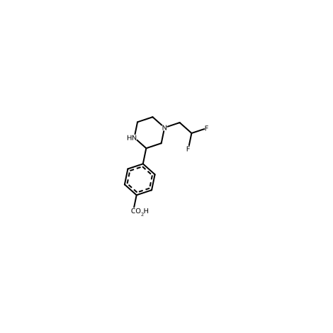 O=C(O)c1ccc(C2CN(CC(F)F)CCN2)cc1